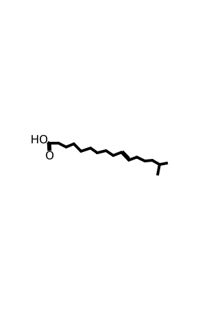 CC(C)CCC/C=C/CCCCCCCCC(=O)O